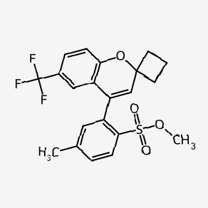 COS(=O)(=O)c1ccc(C)cc1C1=CC2(CCC2)Oc2ccc(C(F)(F)F)cc21